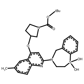 Cc1ccc2nc(N3CCS(O)(O)c4ccccc4C3)cc(OC3CCN(C(=O)OC(C)(C)C)C3)c2c1